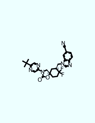 CC(C)(C)c1cnc(N2C[C@@]3(CCC(F)(F)[C@H](Cn4cnc5ccc(C#N)cc54)C3)OC2=O)cn1